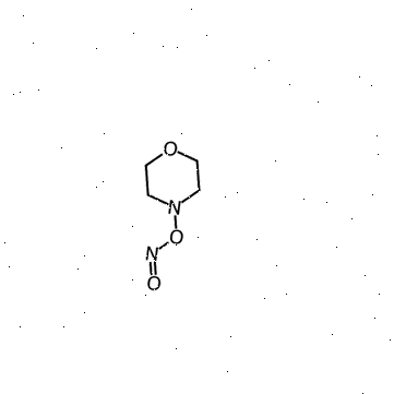 O=NON1CCOCC1